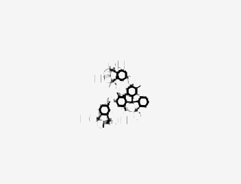 Cc1cc(C2(c3cc(C)c(Oc4ccc(C(=O)O)c(C(=O)O)c4)cc3C)OC(=O)c3ccccc32)c(C)cc1Oc1ccc(C(=O)O)c(C(=O)O)c1